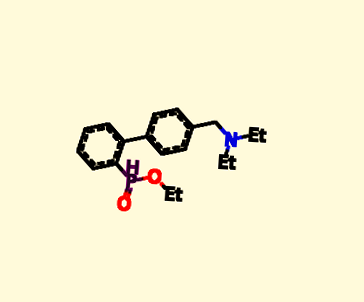 CCO[PH](=O)c1ccccc1-c1ccc(CN(CC)CC)cc1